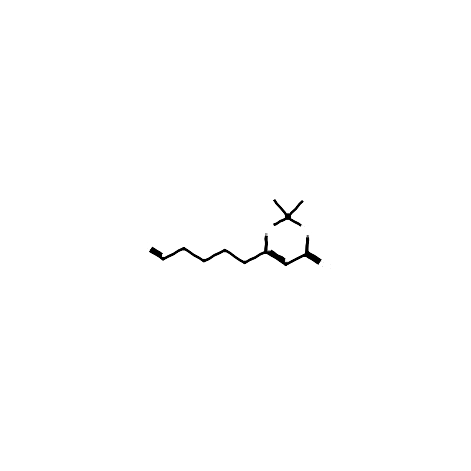 CC1(C)OC(=O)C=C(CCCCC=O)O1